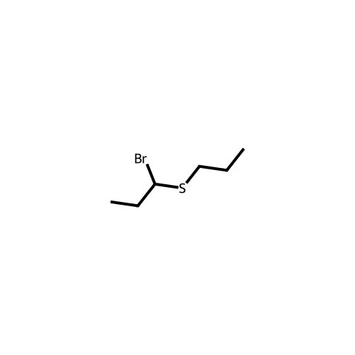 CCCSC(Br)CC